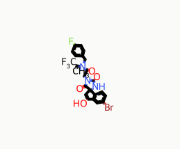 C[C@H](N(Cc1ccc(F)cc1)C(=O)CN1C(=O)N[C@]2(C=C(O)c3cc(Br)ccc32)C1=O)C(F)(F)F